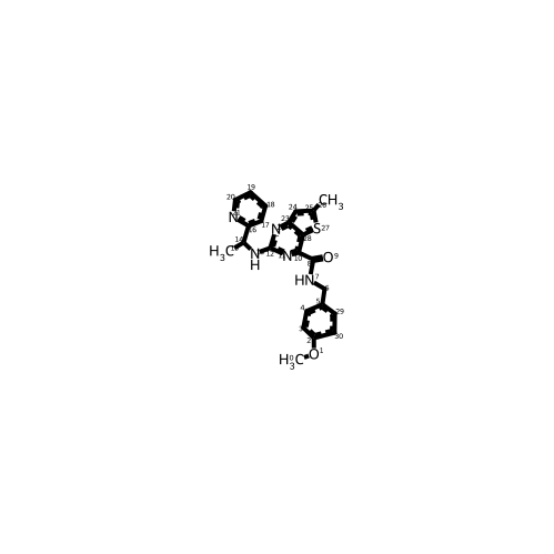 COc1ccc(CNC(=O)c2nc(NC(C)c3ccccn3)nc3cc(C)sc23)cc1